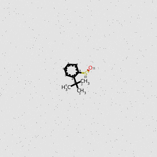 CC(C)(C)c1ccccc1[S+]=O